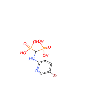 O=P(O)(O)C(Nc1ccc(Br)cn1)P(=O)(O)O